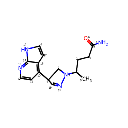 CC(CCC(N)=O)N1CC(c2ccnc3[nH]ccc23)C=N1